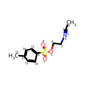 CC#[N+]CCOS(=O)(=O)c1ccc(C)cc1